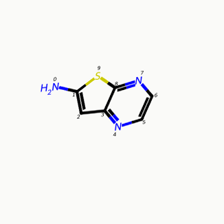 Nc1cc2nccnc2s1